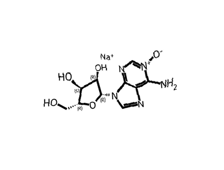 Nc1c2ncn([C@@H]3O[C@H](CO)[C@@H](O)[C@H]3O)c2nc[n+]1[O-].[Na+]